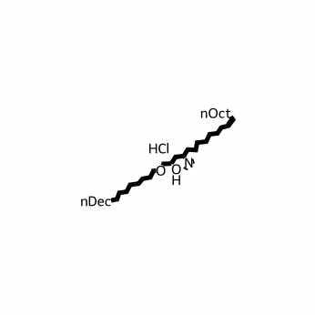 CCCCCCCC/C=C\CCCCCCCC(CC(O)COCCCCCCCCCCCCCCCCCC)N(C)C.Cl